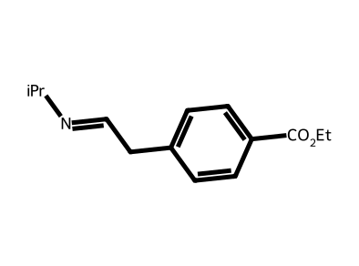 CCOC(=O)c1ccc(CC=NC(C)C)cc1